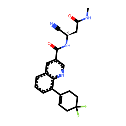 CNC(=O)C[C@H](C#N)NC(=O)c1cnc2c(C3=CCC(F)(F)CC3)cccc2c1